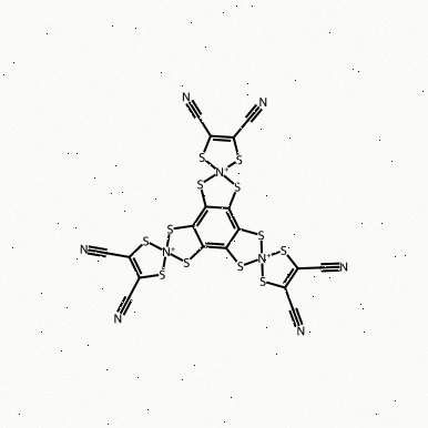 N#CC1=C(C#N)S[N+]2(S1)Sc1c3c(c4c(c1S2)S[N+]1(SC(C#N)=C(C#N)S1)S4)S[N+]1(SC(C#N)=C(C#N)S1)S3